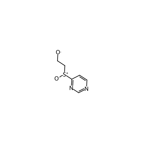 [O]CC[S+]([O-])c1ccncn1